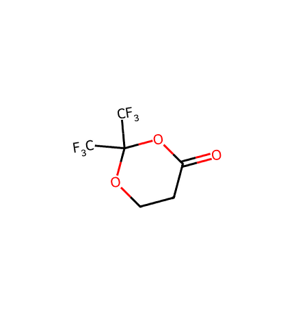 O=C1CCOC(C(F)(F)F)(C(F)(F)F)O1